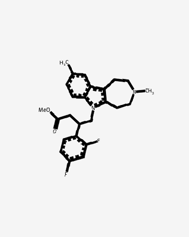 COC(=O)CC(Cn1c2c(c3cc(C)ccc31)CCN(C)CC2)c1ccc(F)cc1F